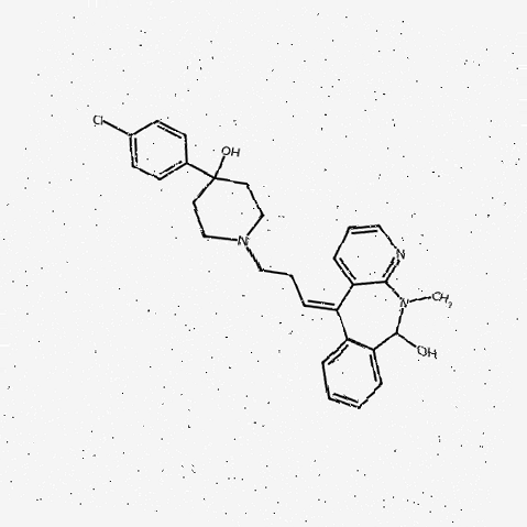 CN1c2ncccc2/C(=C\CCN2CCC(O)(c3ccc(Cl)cc3)CC2)c2ccccc2C1O